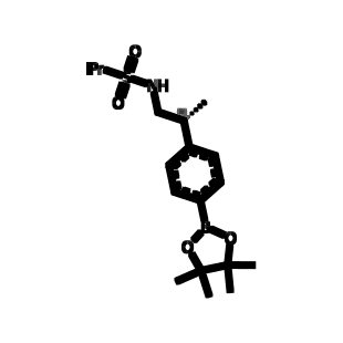 CC(C)S(=O)(=O)NC[C@H](C)c1ccc(B2OC(C)(C)C(C)(C)O2)cc1